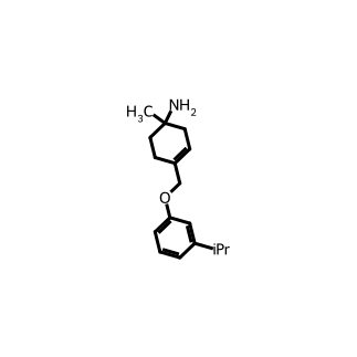 CC(C)c1cccc(OCC2=CCC(C)(N)CC2)c1